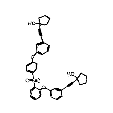 O=S(=O)(c1ccc(Oc2cccc(C#CC3(O)CCCC3)c2)cc1)c1ccccc1Oc1cccc(C#CC2(O)CCCC2)c1